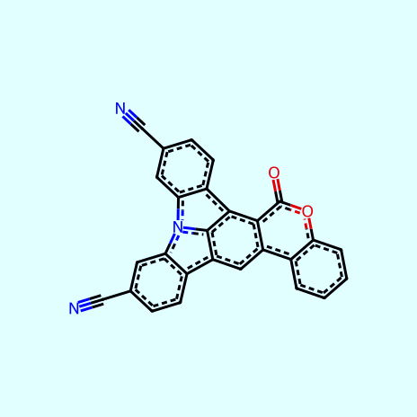 N#Cc1ccc2c3cc4c5ccccc5oc(=O)c4c4c5ccc(C#N)cc5n(c2c1)c34